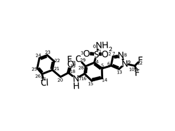 NS(=O)(=O)c1c(-c2cnn(C(F)F)c2)ccc(NC(=O)Cc2ccccc2Cl)c1C(F)(F)F